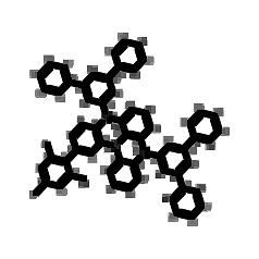 Cc1cc(C)c(-c2ccc3c(c2)B2c4ccccc4N(c4cc(-c5ccccc5)cc(-c5ccccc5)c4)c4cccc(c42)N3c2cc(-c3ccccc3)cc(-c3ccccc3)c2)c(C)c1